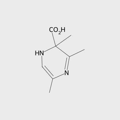 CC1=CNC(C)(C(=O)O)C(C)=N1